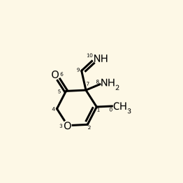 CC1=COCC(=O)C1(N)C=N